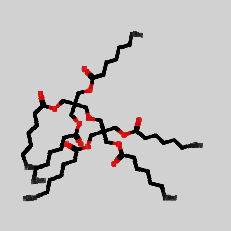 CCCCCCCCCCCCCCCC(=O)OCC(COCC(COC(=O)CCCCCCCCCCCCCCC)(COC(=O)CCCCCCCCCCCCCCC)COC(=O)CCCCCCCCCCCCCCC)(COC(=O)CCCCCCCCCCCCCCC)COC(=O)CCCCCCCCCCCCCCC